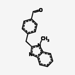 Cn1c(Cc2ccc(C=O)cc2)nc2ccccc21